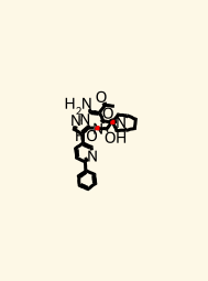 CC(=O)c1c(C2CC3CCC(C2)N3C(=O)[C@H](O)CO)nc2c(-c3ccc(-c4ccccc4)nc3)cnn2c1N